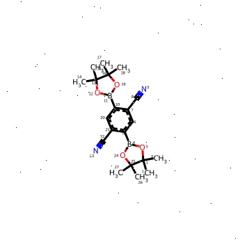 CC1(C)OB(c2cc(C#N)c(B3OC(C)(C)C(C)(C)O3)cc2C#N)OC1(C)C